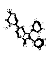 O=C1C=CC(=C2C=CN3C(=O)C(c4ccccc4)=C(c4ccccc4)C3=C2)C(O)=C1